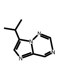 CC(C)c1cnc2cncnn12